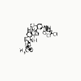 CS(=O)(=O)CC(=O)Nc1c(F)ccc(NC(=O)c2cc(NC(=O)C3CC3(Cl)Cl)ccc2Cl)c1F